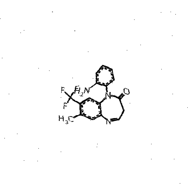 Cc1cc2c(cc1C(F)(F)F)N(c1ccccc1N)C(=O)CC=N2